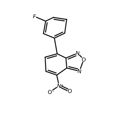 O=[N+]([O-])c1ccc(-c2cccc(F)c2)c2nonc12